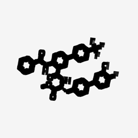 COC(=O)[C@@H](Cc1ccc(-c2ccc(F)c(Cl)c2)cc1)NC(=O)c1cc(-c2ccc(C(F)(F)F)cc2)ccc1NC(=O)c1ccccc1